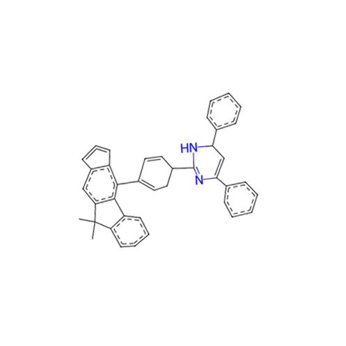 CC1(C)c2ccccc2-c2c1cc1c(c2C2=CCC(C3=NC(c4ccccc4)=CC(c4ccccc4)N3)C=C2)C=C=C1